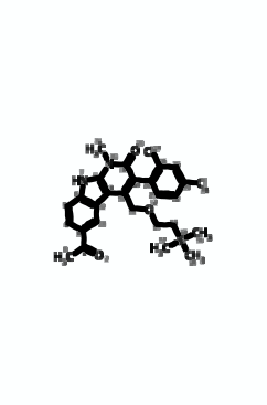 CC(=O)c1ccc2[nH]c3c(c(COCC[Si](C)(C)C)c(-c4ccc(Cl)cc4Cl)c(=O)n3C)c2c1